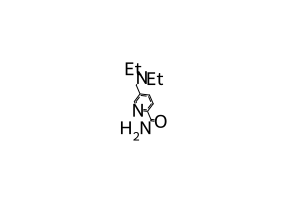 CCN(CC)Cc1ccc(C(N)=O)nc1